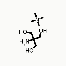 C[N+](C)(C)C.NC(CO)(CO)CO